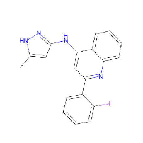 Cc1cc(Nc2cc(-c3ccccc3I)nc3ccccc23)n[nH]1